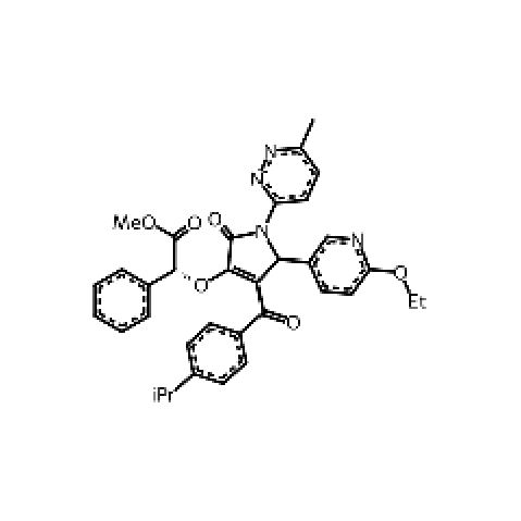 CCOc1ccc(C2C(C(=O)c3ccc(C(C)C)cc3)=C(O[C@@H](C(=O)OC)c3ccccc3)C(=O)N2c2ccc(C)nn2)cn1